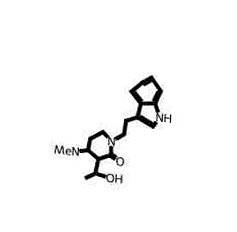 CNC1CCN(CCc2c[nH]c3ccccc23)C(=O)C1C(C)O